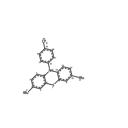 CC(C)(C)c1ccc2c(c1)Sc1cc(C(C)(C)C)ccc1N2c1ccc(C(F)(F)F)cc1